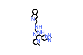 Cc1cccc(-c2nc(CNCCc3cc4ccccc4cn3)[nH]c2-c2ccc3ncnn3c2)n1